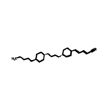 CCCCC[C@H]1CC[C@H](CCCC[C@H]2CC[C@H](/C=C/C=C/C#N)CC2)CC1